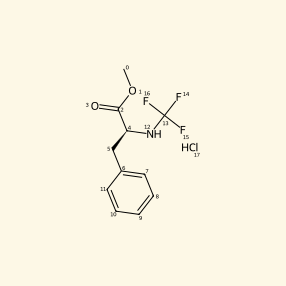 COC(=O)[C@H](Cc1ccccc1)NC(F)(F)F.Cl